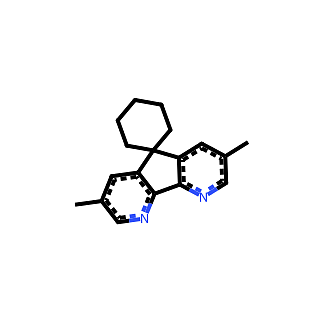 Cc1cnc2c(c1)C1(CCCCC1)c1cc(C)cnc1-2